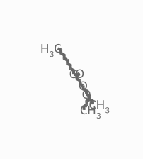 CCCCCCCCCCOC(=O)CCCOCCOCC(CC)CCCC